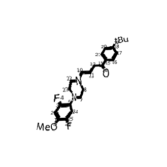 COc1cc(F)c(N2CCN(CCCC(=O)c3ccc(C(C)(C)C)cc3)CC2)cc1F